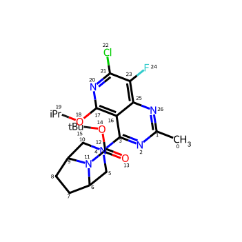 Cc1nc(N2CC3CCC(C2)N3C(=O)OC(C)(C)C)c2c(OC(C)C)nc(Cl)c(F)c2n1